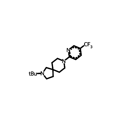 CC(C)(C)N1CCC2(CCN(c3ccc(C(F)(F)F)cn3)CC2)C1